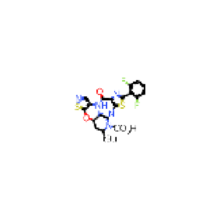 CC(C)(C)C1CC(Oc2sncc2NC(=O)c2nc(-c3c(F)cccc3F)sc2N)CCN1C(=O)O